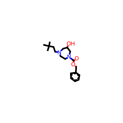 CC(C)(C)CCN1CCN(C(=O)OCc2ccccc2)CC(O)C1